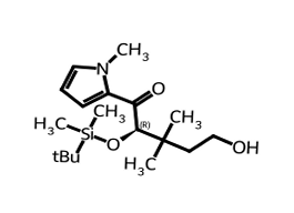 Cn1cccc1C(=O)[C@H](O[Si](C)(C)C(C)(C)C)C(C)(C)CCO